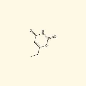 CCC1=CC(=O)NS(=O)O1